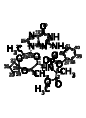 COC(=O)[C@H](C)NP(=O)(OC[C@H]1O[C@@H](n2cnc3c(=O)[nH]c(N)nc32)C(C)OC2(CCCC2)O[C@@H]1C)Oc1ccccc1